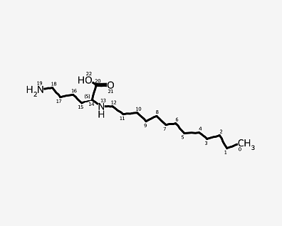 CCCCCCCCCCCCCN[C@@H](CCCCN)C(=O)O